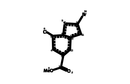 COC(=O)c1cc(Cl)c2sc(Br)cc2c1